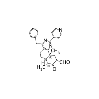 C[C@H]1C(=O)C(C=O)C[C@@]2(C)c3nc(-c4ccncc4)nc(Cc4ccccc4)c3CC[C@H]12